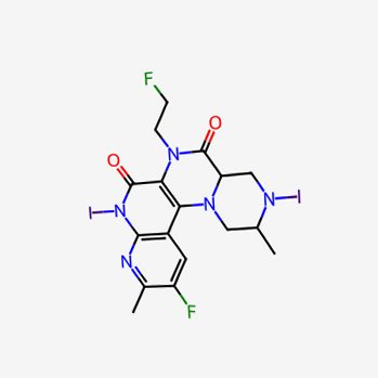 Cc1nc2c(cc1F)c1c(c(=O)n2I)N(CCF)C(=O)C2CN(I)C(C)CN12